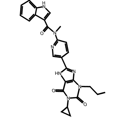 CCCn1c(=O)n(C2CC2)c(=O)c2[nH]c(-c3ccc(N(C)C(=O)c4c[nH]c5ccccc45)nc3)nc21